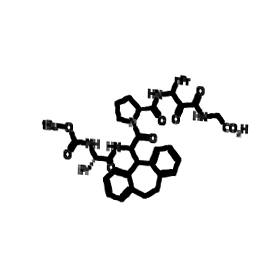 CCCC(NC(=O)[C@@H]1CCCN1C(=O)C(NC(=O)[C@@H](NC(=O)OC(C)(C)C)C(C)C)C1c2ccccc2CCc2ccccc21)C(=O)C(=O)NCC(=O)O